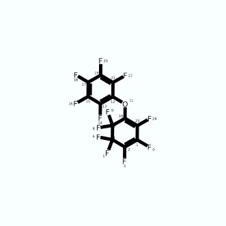 FC1=C(F)C(F)(F)C(F)(F)C(Oc2c(F)c(F)c(F)c(F)c2F)=C1F